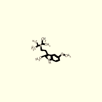 COc1ccc2[nH]c(C)c(CCN(C(C)C)C(C)C)c2c1